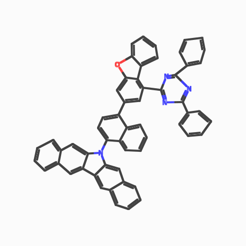 c1ccc(-c2nc(-c3ccccc3)nc(-c3cc(-c4ccc(-n5c6cc7ccccc7cc6c6cc7ccccc7cc65)c5ccccc45)cc4oc5ccccc5c34)n2)cc1